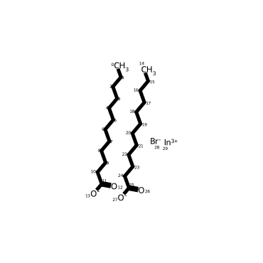 CCCCCCCCCCCC(=O)[O-].CCCCCCCCCCCC(=O)[O-].[Br-].[In+3]